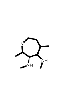 CNC1C(C)CC[N]C(C)[C@@H]1NC